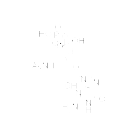 CC(=O)NC[C@H]1[C@@H](O)[C@H](n2cnc3c(=O)[nH]c(N)nc32)O[C@@H]1COP(=O)(O)OP(=O)(O)O